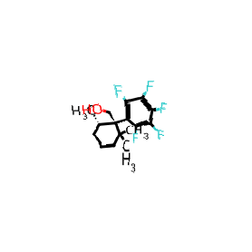 C[C@H]1CCCC(C)(C)[C@@]1(CO)c1c(F)c(F)c(F)c(F)c1F